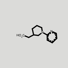 O=C(O)CC1CCCN(c2ccccn2)C1